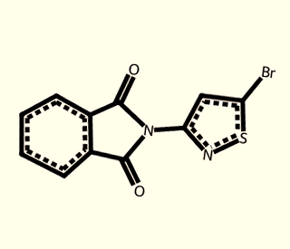 O=C1c2ccccc2C(=O)N1c1cc(Br)sn1